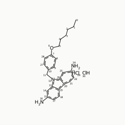 CCCCCCOc1ccc(Cn2c3cc(N)ccc3c3ccc(N)cc32)cc1.Cl.Cl